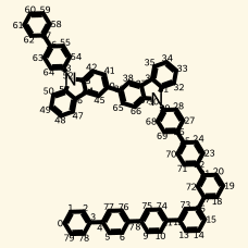 c1ccc(-c2ccc(-c3ccc(-c4cccc(-c5cccc(-c6ccc(-c7ccc(-n8c9ccccc9c9cc(-c%10ccc%11c(c%10)c%10ccccc%10n%11-c%10ccc(-c%11ccccc%11)cc%10)ccc98)cc7)cc6)c5)c4)cc3)cc2)cc1